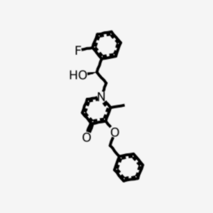 Cc1c(OCc2ccccc2)c(=O)ccn1C[C@@H](O)c1ccccc1F